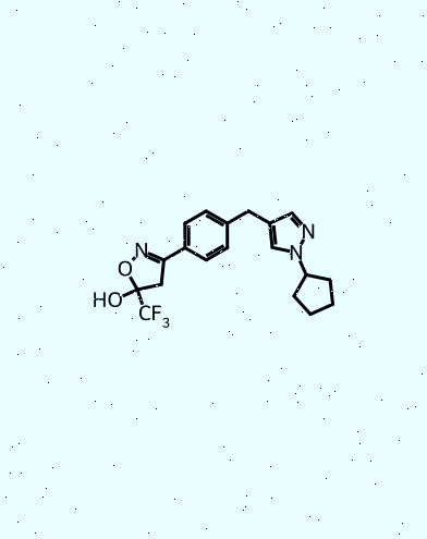 OC1(C(F)(F)F)CC(c2ccc(Cc3cnn(C4CCCC4)c3)cc2)=NO1